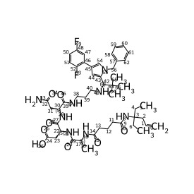 C=CCC(CC)(CC)NC(=O)CCCC(=O)N[C@@H](C)C(=O)N[C@@H](CC(=O)O)C(=O)N[C@@H](CC(N)=O)C(=O)NCCCN[C@@H](c1cc(-c2cc(F)ccc2F)cn1Cc1ccccc1)C(C)(C)C